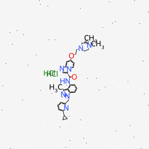 Cc1nn(Cc2cccc(C3CC3)n2)c2cccc(NC(=O)c3cnc4cc(OCCN5CCN(C)[C@@H](C)C5)ccn34)c12.Cl.Cl